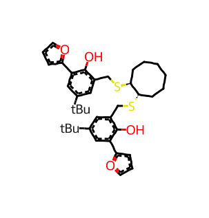 CC(C)(C)c1cc(CS[C@H]2CCCCCC[C@@H]2SCc2cc(C(C)(C)C)cc(-c3ccco3)c2O)c(O)c(-c2ccco2)c1